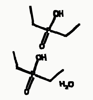 CCP(=O)(O)CC.CCP(=O)(O)CC.O